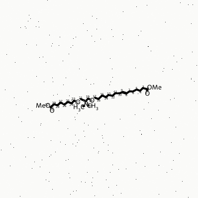 COC(=O)CCCCCC=CCCCCCCCCOCC(COCCCCCCCC(=O)OC)N(C)C